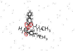 CCCCCCCOC1(C(=O)OC(C)C(=O)c2ccc(CCCC)cc2)C=CC(c2ccccc2)=CC1